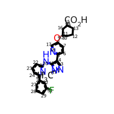 Cn1ncc(-c2ccc(O[C@H]3CCC[C@H](C(=O)O)C3)cn2)c1Nc1cccc(-c2cccc(F)c2)n1